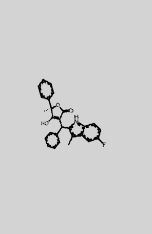 Cc1c(C(C2=C(O)[C@@](C)(c3ccccc3)OC2=O)c2ccccc2)[nH]c2ccc(F)cc12